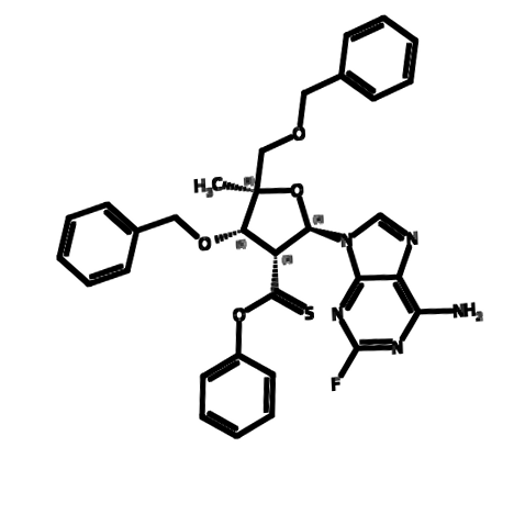 C[C@]1(COCc2ccccc2)O[C@@H](n2cnc3c(N)nc(F)nc32)[C@H](C(=S)Oc2ccccc2)[C@@H]1OCc1ccccc1